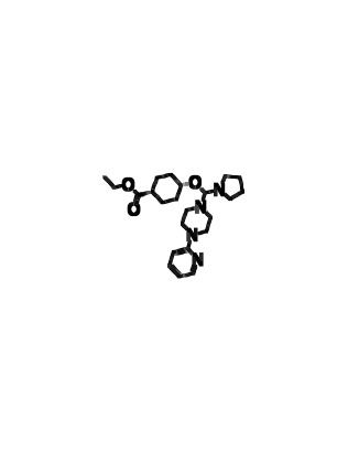 CCOC(=O)[C@H]1CC[C@H](OC(N2CCCC2)N2CCN(c3ccccn3)CC2)CC1